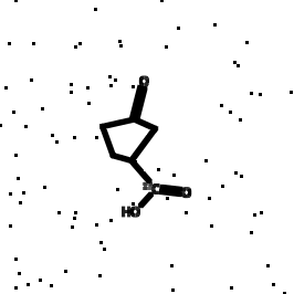 O=C1CCC([13C](=O)O)C1